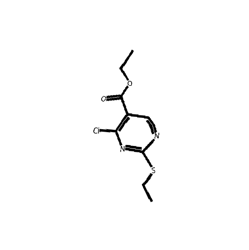 CCOC(=O)c1cnc(SCC)nc1Cl